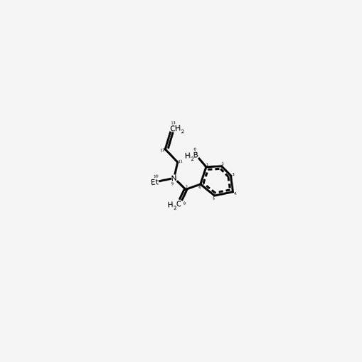 Bc1ccccc1C(=C)N(CC)CC=C